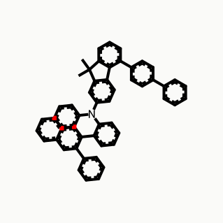 CC1(C)c2cc(N(c3ccccc3)c3ccccc3-c3cc4ccccc4cc3-c3ccccc3)ccc2-c2c(-c3ccc(-c4ccccc4)cc3)cccc21